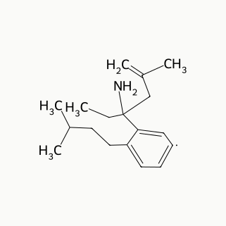 C=C(C)CC(N)(CC)c1c[c]ccc1CCC(C)C